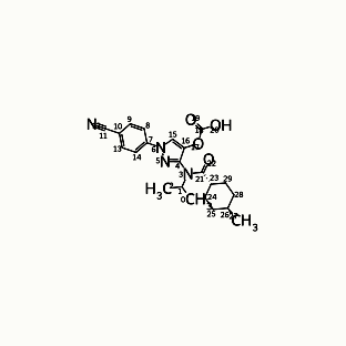 CC(C)N(c1nn(-c2ccc(C#N)cc2)cc1OC(=O)O)C(=O)[C@H]1CC[C@H](C)CC1